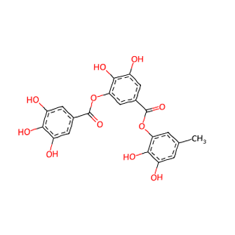 Cc1cc(O)c(O)c(OC(=O)c2cc(O)c(O)c(OC(=O)c3cc(O)c(O)c(O)c3)c2)c1